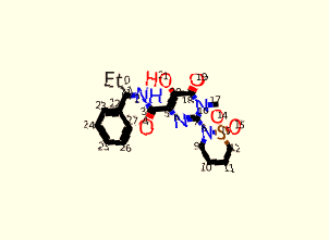 CC[C@H](NC(=O)c1nc(N2CCCCS2(=O)=O)n(C)c(=O)c1O)c1ccccc1